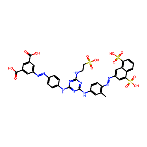 Cc1cc(Nc2nc(NCCS(=O)(=O)O)nc(Nc3ccc(/N=N/c4cc(C(=O)O)cc(C(=O)O)c4)cc3)n2)ccc1/N=N/c1cc(S(=O)(=O)O)c2cccc(S(=O)(=O)O)c2c1